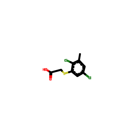 Cc1cc(Cl)cc(SCC(=O)O)c1Cl